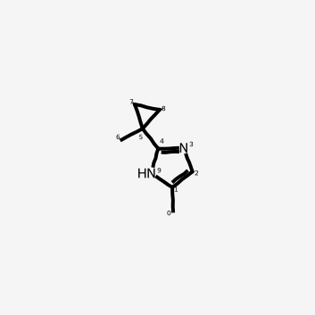 Cc1cnc(C2(C)CC2)[nH]1